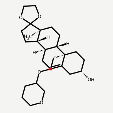 C[C@]12CC[C@H]3[C@@H](CC=C4C[C@@H](O)CC[C@@]43CCOC3CCCOC3)[C@@H]1CCC21OCCO1